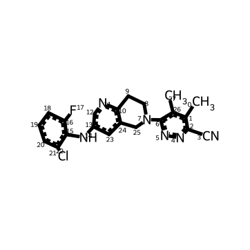 Cc1c(C#N)nnc(N2CCc3ncc(Nc4c(F)cccc4Cl)cc3C2)c1C